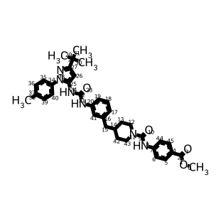 COC(=O)c1ccc(NC(=O)N2CCC(Cc3cccc(NC(=O)Nc4cc(C(C)(C)C)nn4-c4ccc(C)cc4)c3)CC2)cc1